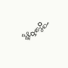 CCC(CC)C(=O)Nc1ccc(N2CCC(C(C(=O)N3CCC(F)CC3)c3ccccc3)CC2)c(F)c1